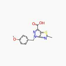 COc1ccc(Cn2nc(C(=O)O)c3sc(C)nc32)cc1